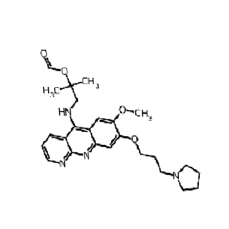 COc1cc2c(NCC(C)(C)OC=O)c3cccnc3nc2cc1OCCCN1CCCC1